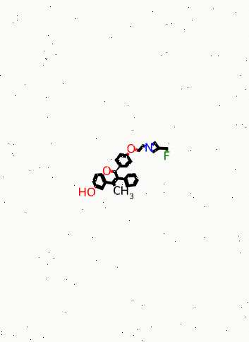 CC1=C(c2ccccc2)[C@H](c2ccc(OCCN3CC(CF)C3)cc2)Oc2ccc(O)cc21